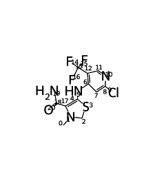 CN1CSC(Nc2cc(Cl)ncc2C(F)(F)F)=C1C(N)=O